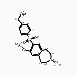 COc1cc2c(cc1S(=O)(=O)c1ccc(CO)cc1)CCN(C)CC2